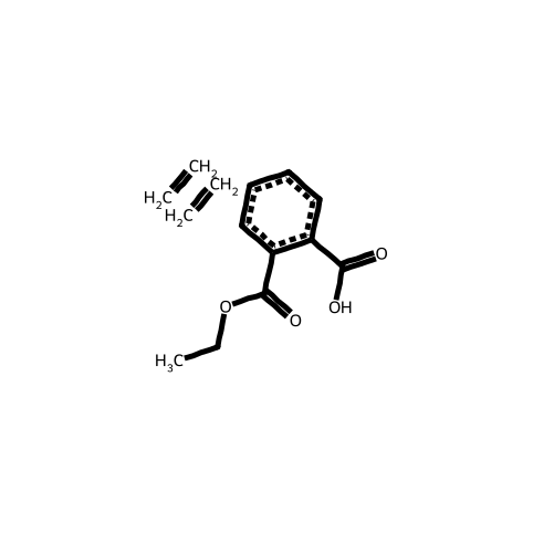 C=C.C=C.CCOC(=O)c1ccccc1C(=O)O